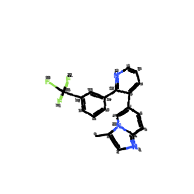 Cc1cnc2ccc(-c3cccnc3-c3cccc(C(F)(F)F)c3)cn12